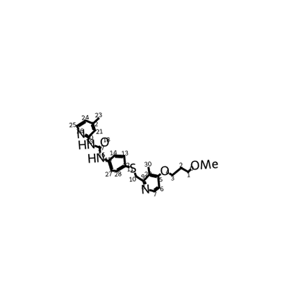 COCCCOc1ccnc(CSc2ccc(NC(=O)Nc3cc(C)ccn3)cc2)c1C